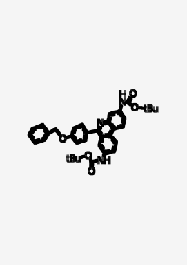 CC(C)(C)OC(=O)Nc1ccc2c(c1)nc(-c1ccc(OCc3ccccc3)cc1)c1cc(NC(=O)OC(C)(C)C)ccc12